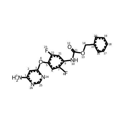 Nc1cc(Oc2cc(F)c(NC(=O)OCc3ccccc3)cc2F)ncn1